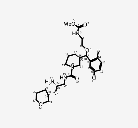 COC(=O)NCCO[C@@H](c1cc(Cl)ccc1C)[C@@H]1CCCN(C(=O)NC[C@@H](N)C[C@H]2CCCOC2)C1